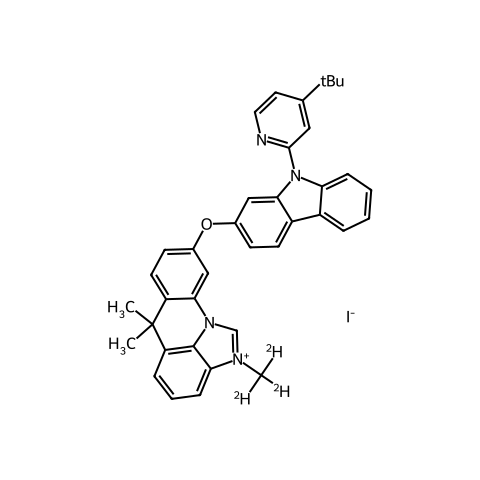 [2H]C([2H])([2H])[n+]1cn2c3c(cccc31)C(C)(C)c1ccc(Oc3ccc4c5ccccc5n(-c5cc(C(C)(C)C)ccn5)c4c3)cc1-2.[I-]